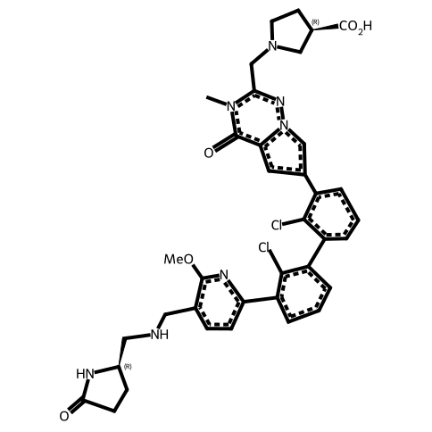 COc1nc(-c2cccc(-c3cccc(-c4cc5c(=O)n(C)c(CN6CC[C@@H](C(=O)O)C6)nn5c4)c3Cl)c2Cl)ccc1CNC[C@H]1CCC(=O)N1